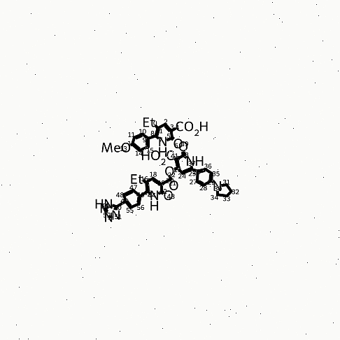 CCc1cc(C(=O)O)c(=O)[nH]c1-c1ccc(OC)cc1.CCc1cc(C(=O)Oc2cc(-c3ccc(N4CCCC4)cc3)[nH]c(=O)c2C(=O)O)c(=O)[nH]c1-c1ccc(-c2nnn[nH]2)cc1